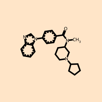 CN(C(=O)c1ccc(-n2cnc3ccccc32)cc1)C1CCCN(C2CCCC2)C1